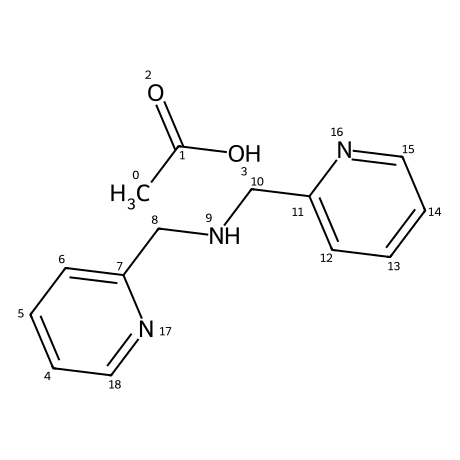 CC(=O)O.c1ccc(CNCc2ccccn2)nc1